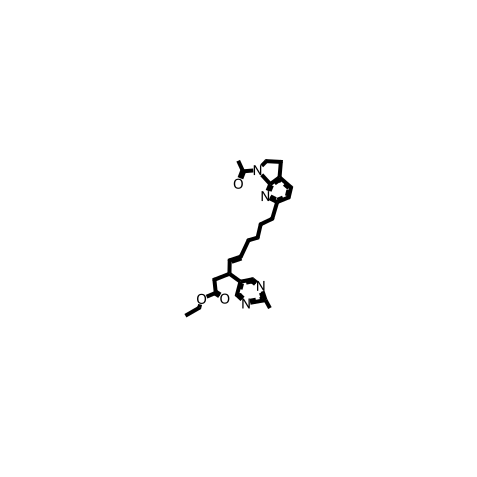 CCOC(=O)CC(/C=C/CCCCc1ccc2c(n1)N(C(C)=O)CC2)c1cnc(C)nc1